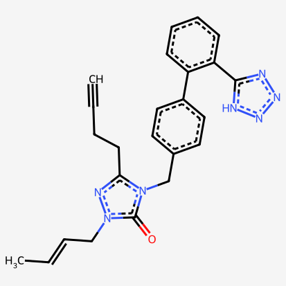 C#CCCc1nn(CC=CC)c(=O)n1Cc1ccc(-c2ccccc2-c2nnn[nH]2)cc1